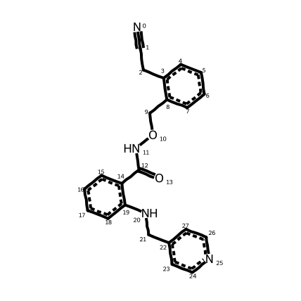 N#CCc1ccccc1CONC(=O)c1ccccc1NCc1ccncc1